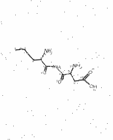 CCCC(N)C(=O)NC(=O)C(N)CC(=O)O